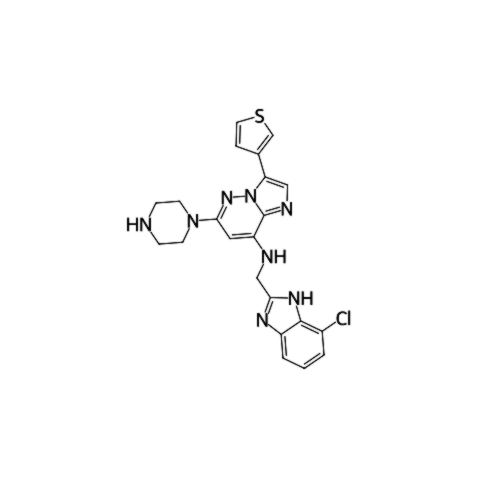 Clc1cccc2nc(CNc3cc(N4CCNCC4)nn4c(-c5ccsc5)cnc34)[nH]c12